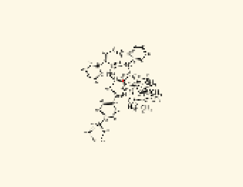 CC1(C)c2ccc(-n3c4ccccc4c4ccc5c6ccccc6n(-c6nc(-c7ccccc7)nc(-c7ccc(-c8ccccc8)cc7)n6)c5c43)cc2C(C)(C)C1(C)C